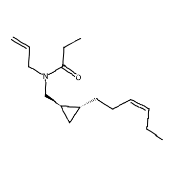 C=CCN(C[C@@H]1C[C@H]1CC/C=C\CC)C(=O)CC